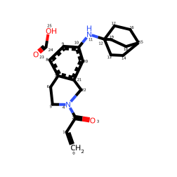 C=CC(=O)N1CCc2ccc(NC34CCC(CC3)CC4)cc2C1.O=CO